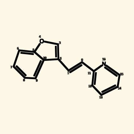 C(=Cc1coc2ccccc12)c1ccccn1